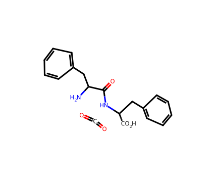 NC(Cc1ccccc1)C(=O)NC(Cc1ccccc1)C(=O)O.O=C=O